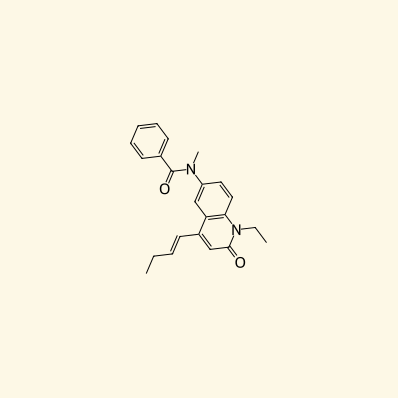 CC/C=C/c1cc(=O)n(CC)c2ccc(N(C)C(=O)c3ccccc3)cc12